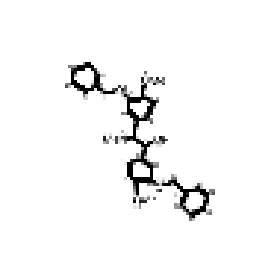 CNC(c1ccc(OC)c(OCc2ccccc2)c1)C(O)c1ccc(OC)c(OCc2ccccc2)c1